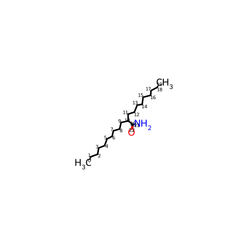 CCCCCCCCCCC(CCCCCCCCC)C(N)=O